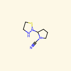 N#CN1CCCC1N1NCCS1